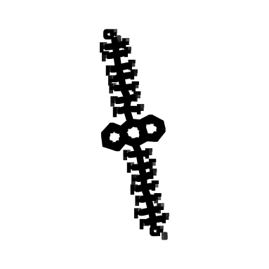 FC(F)(F)C(F)(F)C(F)(F)C(F)(F)C(F)(F)C(F)(F)C(F)(F)C(F)(F)c1c2ccccc2c(C(F)(F)C(F)(F)C(F)(F)C(F)(F)C(F)(F)C(F)(F)C(F)(F)C(F)(F)F)c2ccccc12